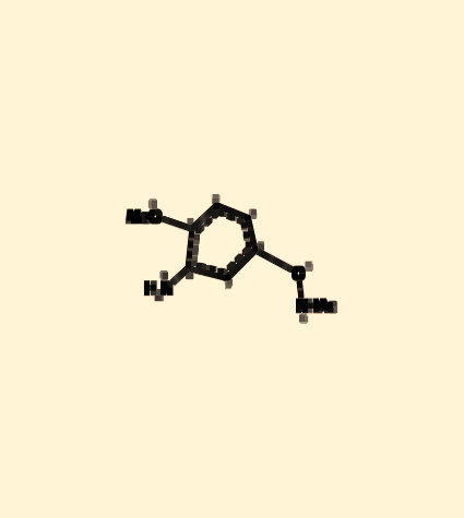 COc1ccc(ONC(C)=O)cc1N